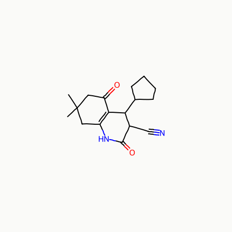 CC1(C)CC(=O)C2=C(C1)NC(=O)C(C#N)C2C1CCCC1